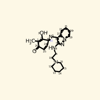 CC1=C(O)/C(=N/c2c(NCCN3CCCCC3)nn3ccccc23)C=CC1=O